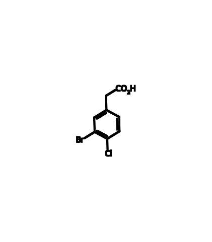 O=C(O)Cc1ccc(Cl)c(Br)c1